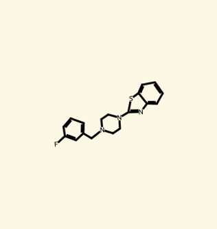 Fc1cccc(CN2CCN(c3nc4ccccc4s3)CC2)c1